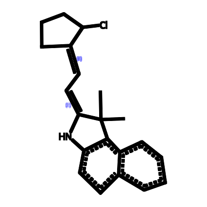 CC1(C)/C(=C\C=C2/CCCC2Cl)Nc2ccc3ccccc3c21